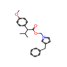 COc1ccc(C(C(=O)OCn2ccc(Cc3ccccc3)c2)C(C)C)cc1